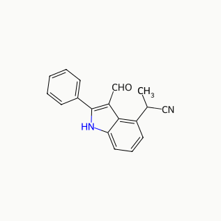 CC(C#N)c1cccc2[nH]c(-c3ccccc3)c(C=O)c12